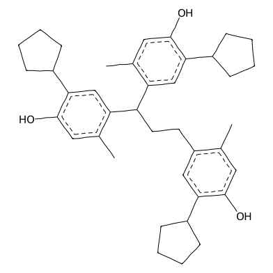 Cc1cc(O)c(C2CCCC2)cc1CCC(c1cc(C2CCCC2)c(O)cc1C)c1cc(C2CCCC2)c(O)cc1C